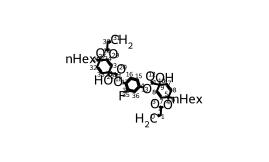 C=CC(=O)OC1(CCCCCC)C=CC(O)(C(=O)Oc2ccc(OC(=O)C3(O)C=CC(CCCCCC)(OC(=O)C=C)C=C3)c(F)c2)C=C1